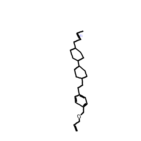 C=CCOCc1ccc(CCC2CCC(C3CCC(C/C=C/C)CC3)CC2)cc1